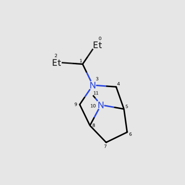 CCC(CC)N1CC2CCC(C1)N2C